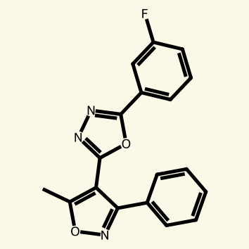 Cc1onc(-c2ccccc2)c1-c1nnc(-c2cccc(F)c2)o1